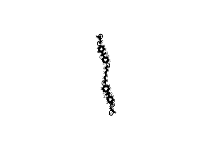 CC(C)(c1ccc(OCCCCCCOc2ccc(C(C)(C)c3ccc(OCC4CO4)cc3)cc2)cc1)c1ccc(OCC2CO2)cc1